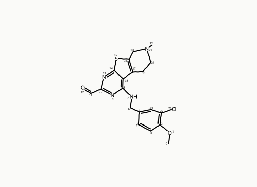 COc1ccc(CNc2nc(C=O)nc3sc4c(c23)CCN(C)C4)cc1Cl